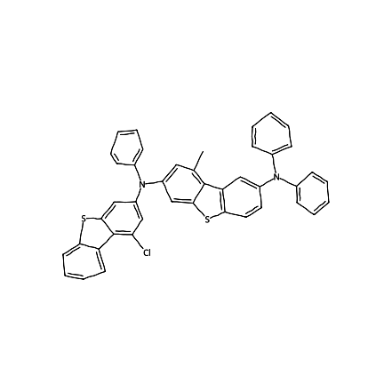 Cc1cc(N(c2ccccc2)c2cc(Cl)c3c(c2)sc2ccccc23)cc2sc3ccc(N(c4ccccc4)c4ccccc4)cc3c12